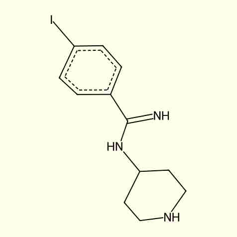 N=C(NC1CCNCC1)c1ccc(I)cc1